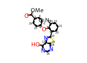 COC(=O)c1ccc(Oc2c(-c3nc4c(O)ncnc4s3)cccc2[N+](=O)[O-])cc1